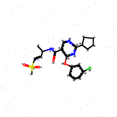 CC(/C=C/S(C)(=O)=O)NC(=O)c1cnc(C2CCCC2)nc1Oc1cccc(Cl)c1